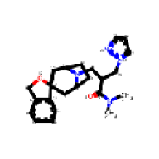 CN(C)C(=O)C(CN1C2CCC1CC1(C2)OCc2ccccc21)Cn1cccn1